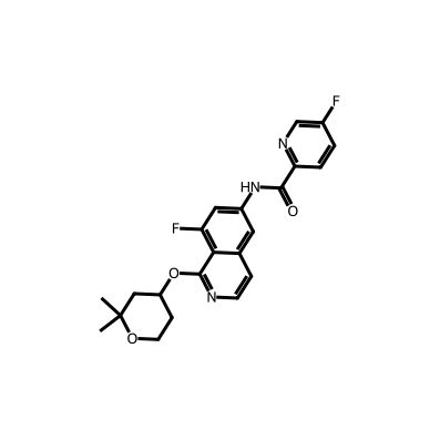 CC1(C)CC(Oc2nccc3cc(NC(=O)c4ccc(F)cn4)cc(F)c23)CCO1